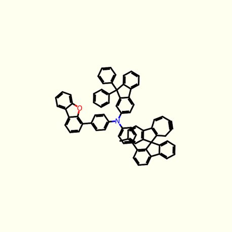 Cc1ccc2c(c1)C1(C3=C2C=CC#CC3)c2ccccc2-c2cccc(-c3ccc(N(c4ccc(-c5cccc6c5oc5ccccc56)cc4)c4ccc5c(c4)C(c4ccccc4)(c4ccccc4)c4ccccc4-5)cc3)c21